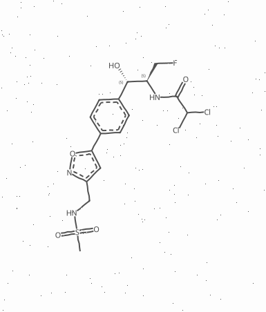 CS(=O)(=O)NCc1cc(-c2ccc([C@H](O)[C@@H](CF)NC(=O)C(Cl)Cl)cc2)on1